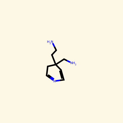 NCCC1(CN)C=CN=CC1